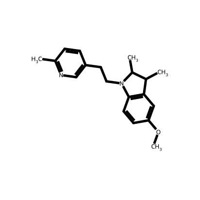 COc1ccc2c(c1)C(C)C(C)N2CCc1ccc(C)nc1